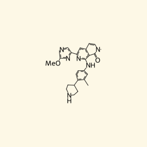 COc1cncc(-c2cc3c(c(Nc4ccc(C5CCNCC5)c(C)c4)n2)C(=O)[N]C=C3)n1